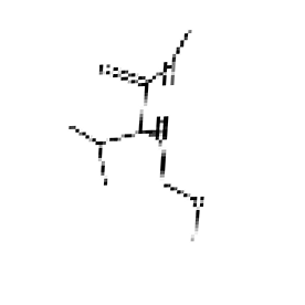 CNC(=O)[C@@H](NCOC)C(C)C